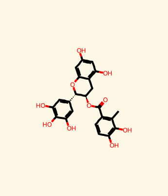 Cc1c(C(=O)O[C@@H]2Cc3c(O)cc(O)cc3O[C@H]2c2cc(O)c(O)c(O)c2)ccc(O)c1O